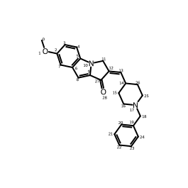 COc1ccc2c(c1)cc1n2CC(=CC2CCN(Cc3ccccc3)CC2)C1=O